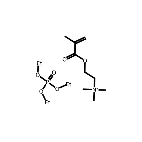 C=C(C)C(=O)OCC[N+](C)(C)C.CCOP(=O)(OCC)OCC